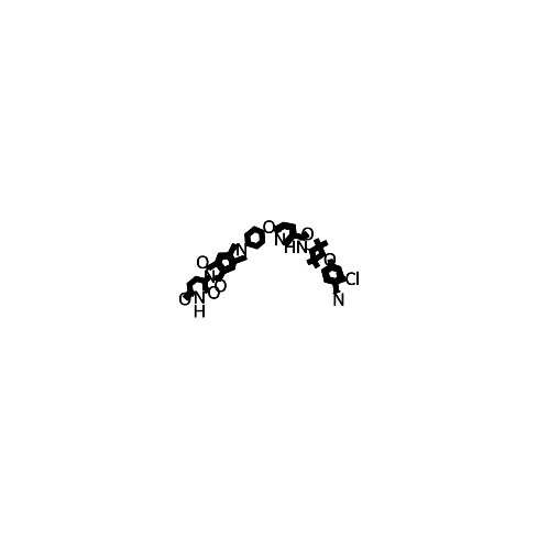 CC1(C)[C@H](NC(=O)c2ccc(O[C@H]3CC[C@H](N4Cc5cc6c(cc5C4)C(=O)N(C4CCC(=O)NC4=O)C6=O)CC3)nc2)C(C)(C)[C@H]1Oc1ccc(C#N)c(Cl)c1